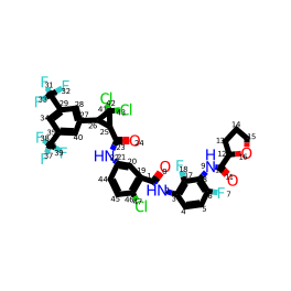 O=C(Nc1ccc(F)c(NC(=O)C2CCCO2)c1F)c1cc(NC(=O)C2C(c3cc(C(F)(F)F)cc(C(F)(F)F)c3)C2(Cl)Cl)ccc1Cl